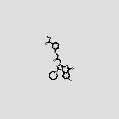 COC(=O)c1cccc(OCC(=O)Cn2nc(N3CCCCCC3)n3c4ccc(Cl)cc4c(=O)nc23)c1